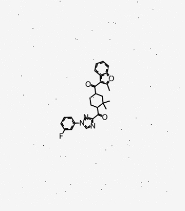 Cc1oc2ccccc2c1C(=O)C1CCC(C(=O)c2ncn(-c3cccc(F)c3)n2)C(C)(C)C1